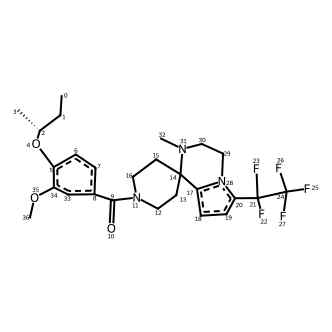 CC[C@@H](C)Oc1ccc(C(=O)N2CCC3(CC2)c2ccc(C(F)(F)C(F)(F)F)n2CCN3C)cc1OC